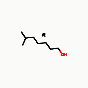 CC(C)CCCCCO.[Al]